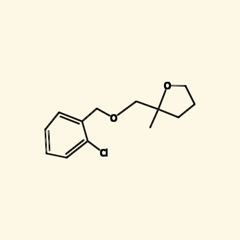 CC1(COCc2ccccc2Cl)CCCO1